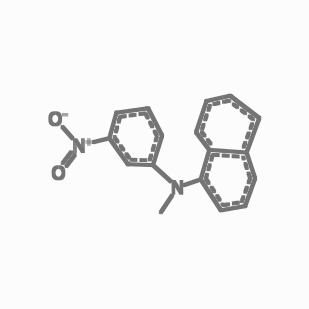 CN(c1cccc([N+](=O)[O-])c1)c1cccc2ccccc12